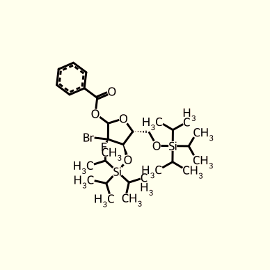 CC(C)[Si](OC[C@H]1OC(OC(=O)c2ccccc2)[C@](F)(Br)[C@@H]1O[Si](C(C)C)(C(C)C)C(C)C)(C(C)C)C(C)C